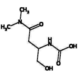 CN(C)C(=O)CC(CO)NC(=O)O